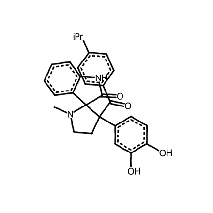 CC(C)c1ccc(C(=O)C2(c3ccc(O)c(O)c3)CCN(C)C23C(=O)Nc2ccccc23)cc1